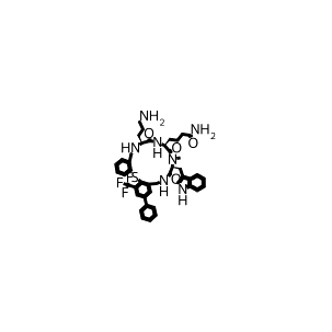 CN1C(=O)[C@H](CCCC(N)=O)NC(=O)[C@H](CCCN)NCc2ccccc2Sc2c(cc(-c3ccccc3)cc2C(F)(F)F)CNC(=O)[C@@H]1Cc1c[nH]c2ccccc12